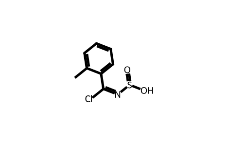 Cc1ccccc1/C(Cl)=N\S(=O)O